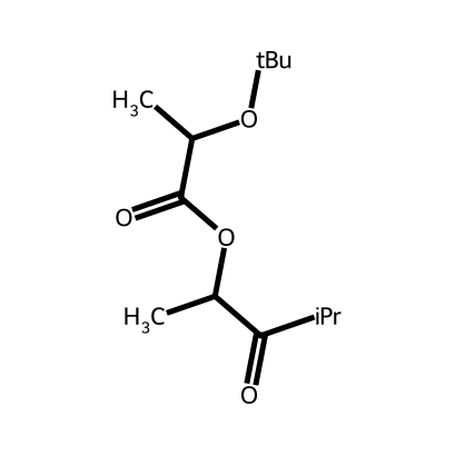 CC(C)C(=O)C(C)OC(=O)C(C)OC(C)(C)C